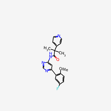 COc1ccc(F)cc1-c1cc(NC(=O)C(C)(C)c2ccncc2)ncn1